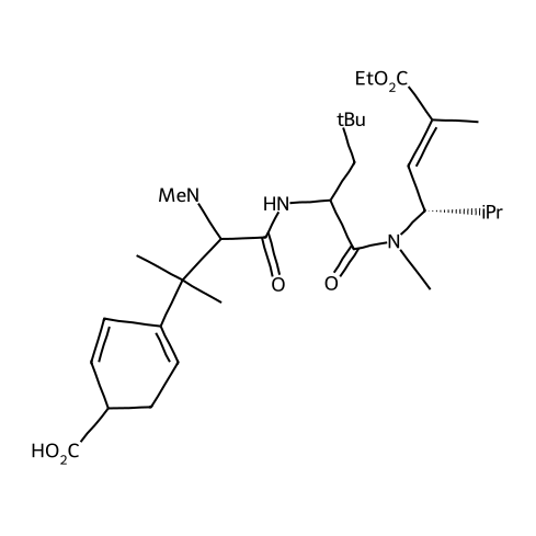 CCOC(=O)/C(C)=C/[C@H](C(C)C)N(C)C(=O)C(CC(C)(C)C)NC(=O)C(NC)C(C)(C)C1=CCC(C(=O)O)C=C1